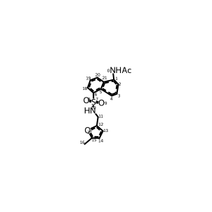 CC(=O)Nc1cccc2c(S(=O)(=O)NCc3ccc(C)o3)cccc12